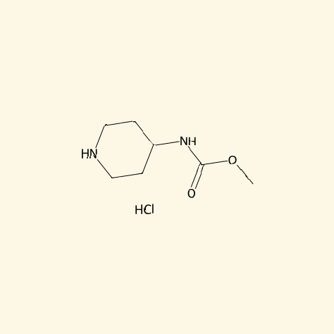 COC(=O)NC1CCNCC1.Cl